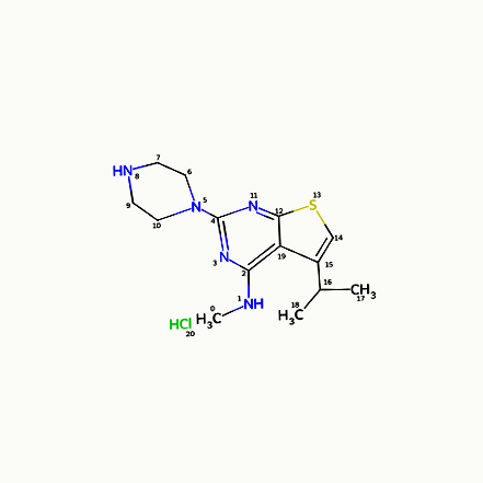 CNc1nc(N2CCNCC2)nc2scc(C(C)C)c12.Cl